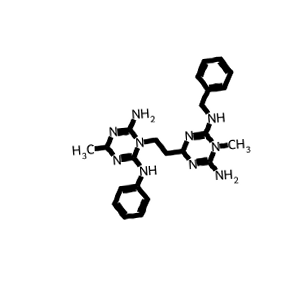 CC1N=C(N)N(CCC2N=C(N)N(C)C(NCc3ccccc3)=N2)C(Nc2ccccc2)=N1